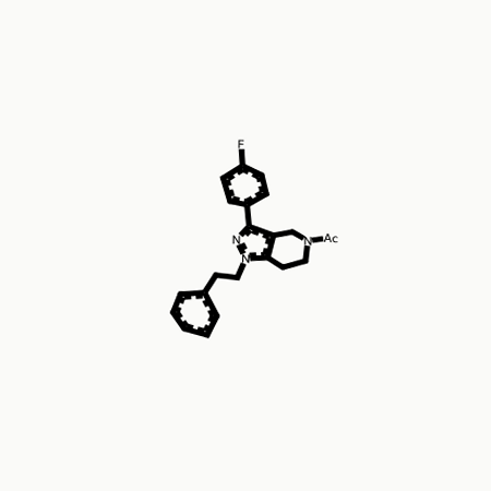 CC(=O)N1CCc2c(c(-c3ccc(F)cc3)nn2CCc2ccccc2)C1